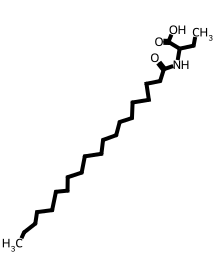 CCCCCCCCCCCCCCCCCCCC(=O)NC(CC)C(=O)O